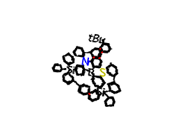 CC(C)(C)c1cccc(-c2cc3c4c(c2)N(c2ccccc2-c2ccccc2)c2cc([Si](c5ccccc5)(c5ccccc5)c5cccc(-c6ccccc6)c5)ccc2B4c2ccc([Si](c4ccccc4)(c4ccccc4)c4cccc(-c5ccccc5)c4)cc2S3)c1